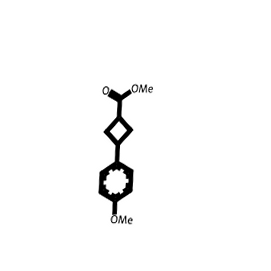 COC(=O)C1CC(c2ccc(OC)cc2)C1